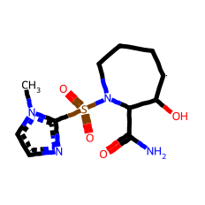 Cn1ccnc1S(=O)(=O)N1CCC[CH]C(O)C1C(N)=O